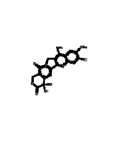 CC[C@@]1(O)C(=O)OCc2c1cc1n(c2=O)Cc2c-1nc1cc(Cl)c(OC)cc1c2NC